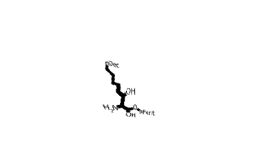 CCCCCCCCCCCCC/C=C/C(O)C(N)C(O)OCCCCC